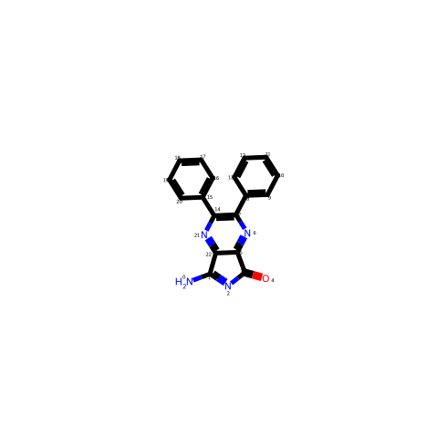 NC1=NC(=O)c2nc(-c3ccccc3)c(-c3ccccc3)nc21